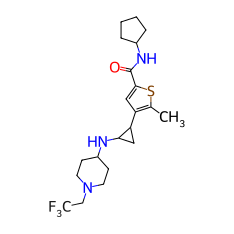 Cc1sc(C(=O)NC2CCCC2)cc1C1CC1NC1CCN(CC(F)(F)F)CC1